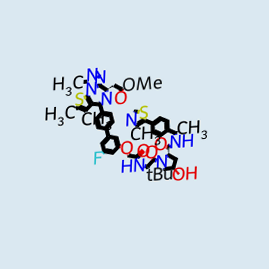 COC(=O)C[C@@H]1N=C(c2ccc(-c3cc(F)cc(OCC(=O)NC(C(=O)N4C[C@H](O)C[C@H]4C(=O)N[C@@H](C)c4ccc(-c5scnc5C)cc4)C(C)(C)C)c3)cc2)c2c(sc(C)c2C)-n2c(C)nnc21